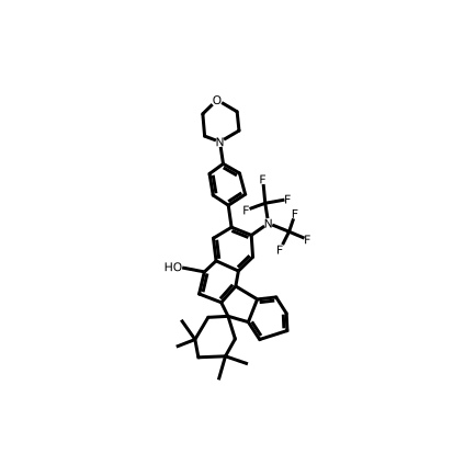 CC1(C)CC(C)(C)CC2(C1)c1ccccc1-c1c2cc(O)c2cc(-c3ccc(N4CCOCC4)cc3)c(N(C(F)(F)F)C(F)(F)F)cc12